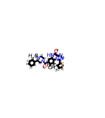 Cc1cc2c(cc1C(=O)N1CCN(C)C(c3ccccc3)C1)[nH]c(=O)c1nnc(-c3sccc3C)n12